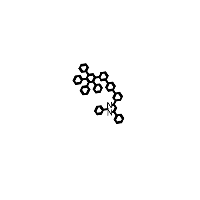 c1ccc(-c2cc(-c3cccc(-c4ccc(-c5cccc(-c6cc(-c7ccccc7)c(-c7ccccc7)c(-c7ccccc7)c6-c6ccccc6)c5)cc4)c3)nc(-c3ccccc3)n2)cc1